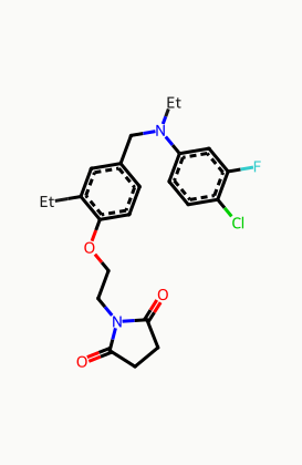 CCc1cc(CN(CC)c2ccc(Cl)c(F)c2)ccc1OCCN1C(=O)CCC1=O